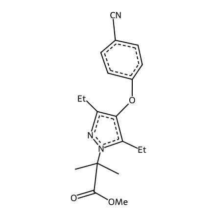 CCc1nn(C(C)(C)C(=O)OC)c(CC)c1Oc1ccc(C#N)cc1